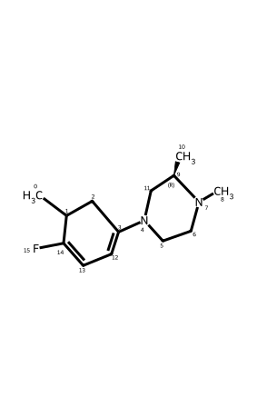 CC1CC(N2CCN(C)[C@H](C)C2)=CC=C1F